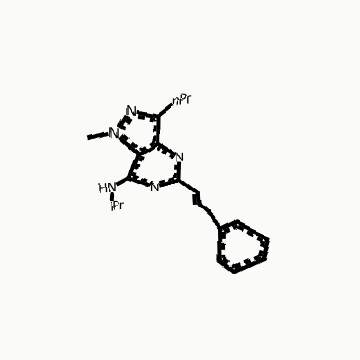 CCCc1nn(C)c2c(NC(C)C)nc(/C=C/c3ccccc3)nc12